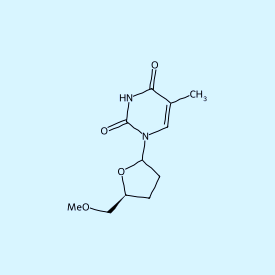 COC[C@@H]1CCC(n2cc(C)c(=O)[nH]c2=O)O1